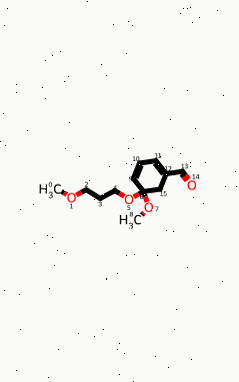 COCCCOC1(OC)C=CC=C(C=O)C1